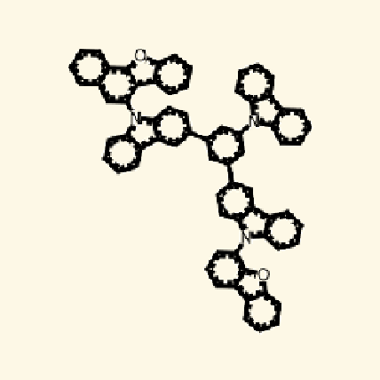 c1ccc2c(c1)cc(-n1c3ccccc3c3cc(-c4cc(-c5ccc6c(c5)c5ccccc5n6-c5cccc6c5oc5ccccc56)cc(-n5c6ccccc6c6ccccc65)c4)ccc31)c1c3ccccc3oc21